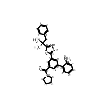 C[C@@](N)(Cc1ccccc1)c1nnc(-c2cc(C(=O)N3CCCC3)cc(-c3ccccc3N)c2)o1